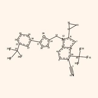 N#Cc1ccc2c(cc(C3CC3)n2Cc2ccc(-c3cccc(C(F)(F)F)c3)o2)c1C(F)(F)F